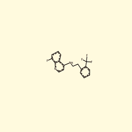 Fc1cccc2c(NCCc3ccccc3C(F)(F)F)ccnc12